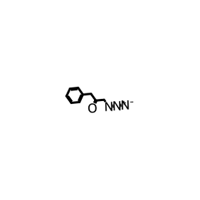 [N-]=[N+]=NCC(=O)Cc1ccccc1